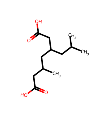 CC(C)CC(CC(=O)O)CC(C)CC(=O)O